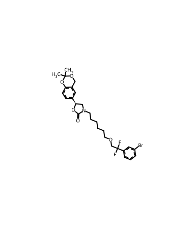 CC1(C)OCc2cc([C@H]3CN(CCCCCCOCC(F)(F)c4cccc(Br)c4)C(=O)O3)ccc2O1